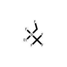 CC[Si](F)(CF)C(F)(F)F